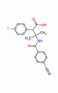 CC(C)(NC(=O)c1ccc(C#N)cc1)C(C(=O)O)c1ccc(F)cc1